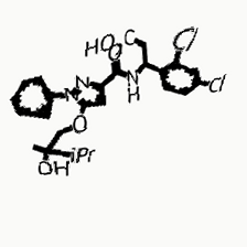 CC(C)C(C)(O)COc1cc(C(=O)NC(CC(=O)O)c2ccc(Cl)cc2Cl)nn1-c1ccccc1